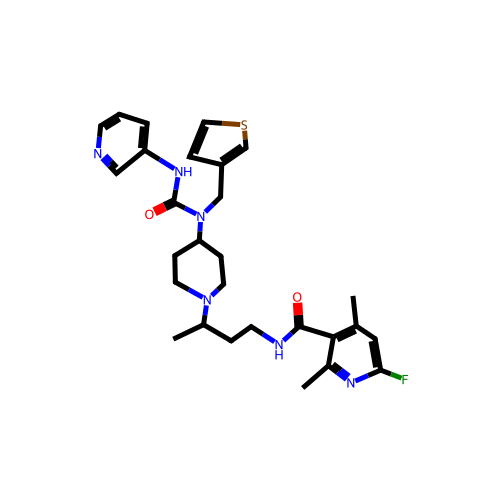 Cc1cc(F)nc(C)c1C(=O)NCCC(C)N1CCC(N(Cc2ccsc2)C(=O)Nc2cccnc2)CC1